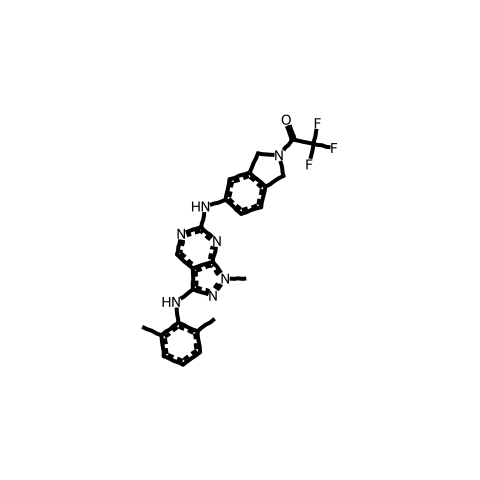 Cc1cccc(C)c1Nc1nn(C)c2nc(Nc3ccc4c(c3)CN(C(=O)C(F)(F)F)C4)ncc12